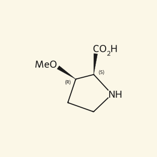 CO[C@@H]1CCN[C@@H]1C(=O)O